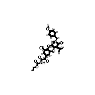 CCOC(=O)NC(=O)C(=O)c1cc(Cl)c(Oc2cc(C(C)C)c(=O)n(Cc3ccc(OC)cc3)n2)c(Cl)c1